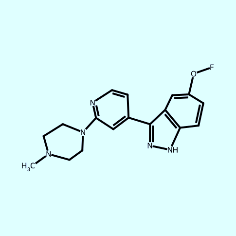 CN1CCN(c2cc(-c3n[nH]c4ccc(OF)cc34)ccn2)CC1